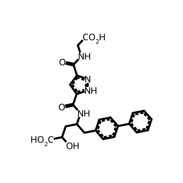 O=C(O)CNC(=O)c1cc(C(=O)NC(Cc2ccc(-c3ccccc3)cc2)CC(O)C(=O)O)[nH]n1